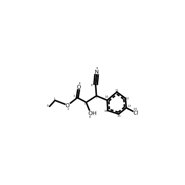 CCOC(=O)C(O)C(C#N)c1ccc(Cl)cc1